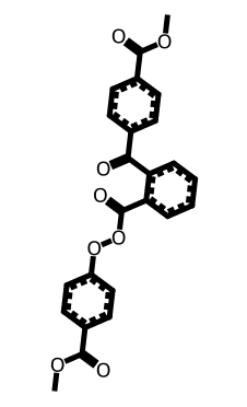 COC(=O)c1ccc(OOC(=O)c2ccccc2C(=O)c2ccc(C(=O)OC)cc2)cc1